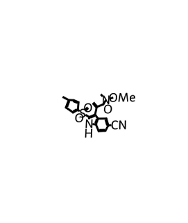 C=C(C(=O)N(C)OC)c1c(S(=O)(=O)c2ccc(C)cc2)[nH]c2ccc(C#N)cc12